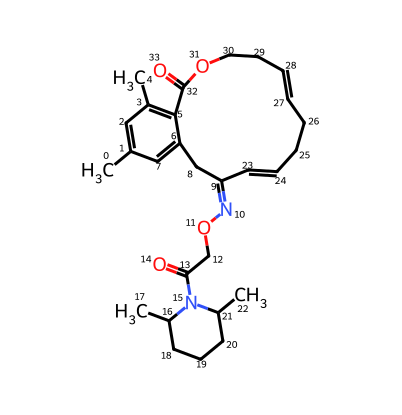 Cc1cc(C)c2c(c1)CC(=N\OCC(=O)N1C(C)CCCC1C)/C=C/CC/C=C/CCOC2=O